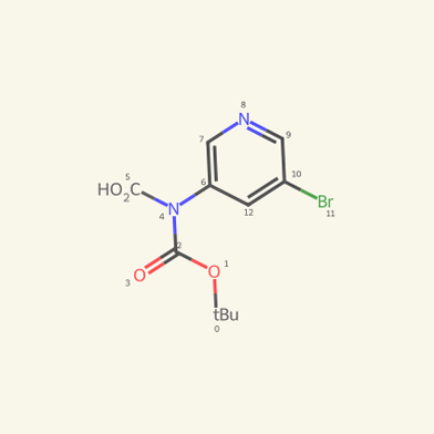 CC(C)(C)OC(=O)N(C(=O)O)c1cncc(Br)c1